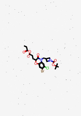 CCC(=O)OC(=O)CCC1Oc2cc(Br)c(Cl)cc2N(CC2CN(C(=O)OC(C)(C)C)C2)C1=O